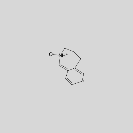 [O-][NH+]1C=C2C=C[C]C=C2CCC1